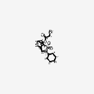 O=C(CBr)OC1C2CC3C(S2)C1N(C1CCCCC1)S3(=O)=O